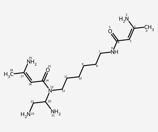 C/C(N)=C/C(=O)NCCCCCCN(C(=O)/C=C(/C)N)C(N)CN